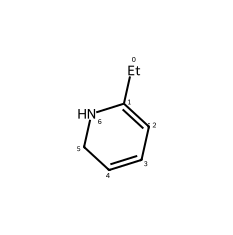 CCC1=[C]C=CCN1